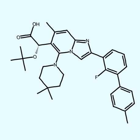 Cc1ccc(-c2cccc(-c3cn4c(N5CCC(C)(C)CC5)c([C@H](OC(C)(C)C)C(=O)O)c(C)cc4n3)c2F)cc1